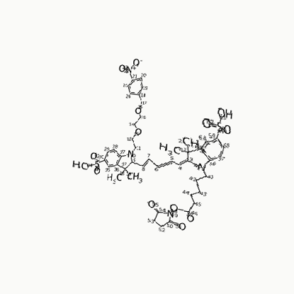 CC1(C)\C(=C/C=C/C=C/C2N(CCOCCOCc3ccc([N+](=O)[O-])cc3)c3ccc(S(=O)(=O)O)cc3C2(C)C)N(CCCCCC(=O)ON2C(=O)CCC2=O)c2ccc(S(=O)(=O)O)cc21